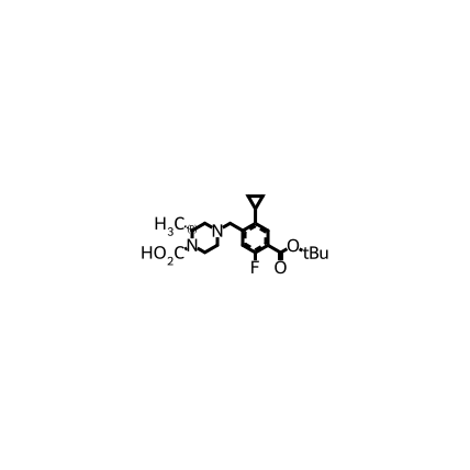 C[C@@H]1CN(Cc2cc(F)c(C(=O)OC(C)(C)C)cc2C2CC2)CCN1C(=O)O